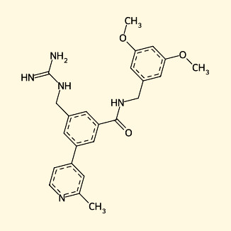 COc1cc(CNC(=O)c2cc(CNC(=N)N)cc(-c3ccnc(C)c3)c2)cc(OC)c1